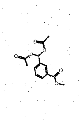 COC(=O)c1cccc(I(OC(C)=O)OC(C)=O)c1